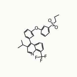 CCCS(=O)(=O)c1cccc(Oc2cccc(-c3c(C(C)C)cnc4c(C(F)(F)F)cccc34)c2)c1